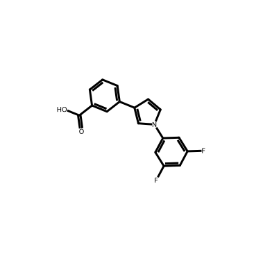 O=C(O)c1cccc(-c2ccn(-c3cc(F)cc(F)c3)c2)c1